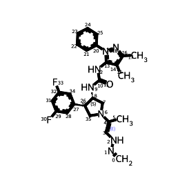 C=NN/C=C(\C)N1C[C@@H](NC(=O)Nc2c(C)c(C)nn2-c2ccccc2)[C@H](c2cc(F)cc(F)c2)C1